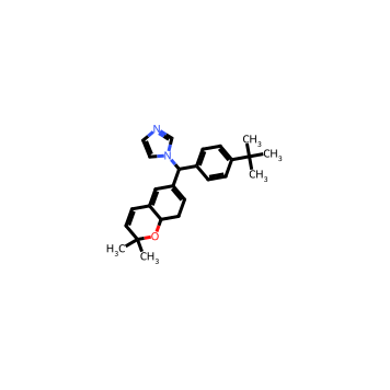 CC1(C)C=CC2=CC(C(c3ccc(C(C)(C)C)cc3)n3ccnc3)=CCC2O1